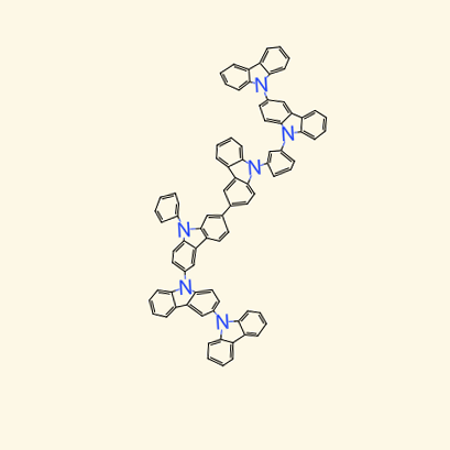 c1ccc(-n2c3ccc(-n4c5ccccc5c5cc(-n6c7ccccc7c7ccccc76)ccc54)cc3c3ccc(-c4ccc5c(c4)c4ccccc4n5-c4cccc(-n5c6ccccc6c6cc(-n7c8ccccc8c8ccccc87)ccc65)c4)cc32)cc1